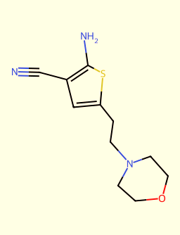 N#Cc1cc(CCN2CCOCC2)sc1N